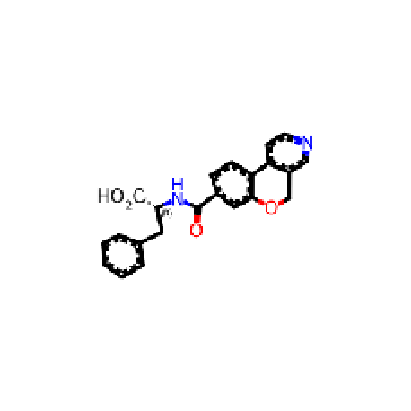 O=C(N[C@H](Cc1ccccc1)C(=O)O)c1ccc2c(c1)OCc1cnccc1-2